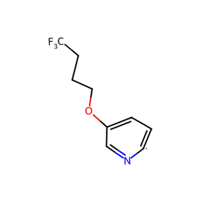 FC(F)(F)CCCOc1cc[c]nc1